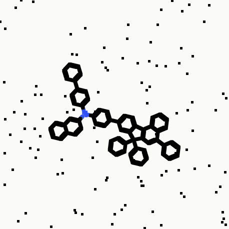 c1ccc(-c2ccc(N(c3ccc(-c4ccc5c(c4)C(c4ccccc4)(c4ccccc4)c4cc(-c6ccccc6)c6ccccc6c4-5)cc3)c3ccc4ccccc4c3)cc2)cc1